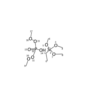 CC[Si](OC)(OC)OC.COOP(=O)(O)OOC